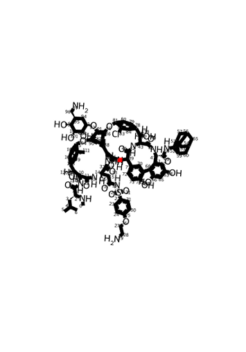 CN[C@H](CC(C)C)C(=O)N[C@H]1C(=O)N[C@@H](CC(=O)NS(=O)(=O)c2ccc(OCCN)cc2)C(=O)N[C@H]2C(=O)N[C@H]3C(=O)N[C@H](C(=O)N[C@H](C(=O)NC4C5CC6CC(C5)CC4C6)c4cc(O)cc(O)c4-c4cc3ccc4O)[C@H](O)c3ccc(c(Cl)c3)Oc3cc2cc(c3O[C@@H]2C[C@H](CN)[C@@H](O)[C@H](O)[C@H]2O)Oc2ccc(cc2C)[C@H]1O